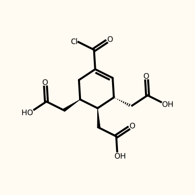 O=C(O)C[C@H]1CC(C(=O)Cl)=C[C@H](CC(=O)O)[C@H]1CC(=O)O